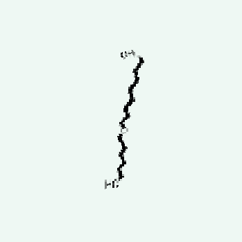 O=CCCCCCCCCOCCCCCCO